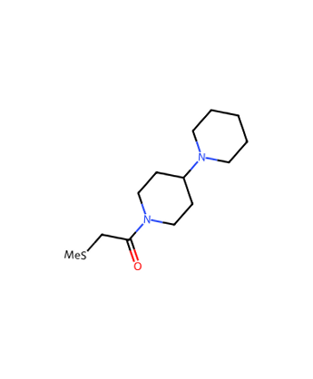 CSCC(=O)N1CCC(N2CCCCC2)CC1